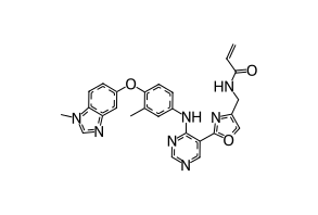 C=CC(=O)NCc1coc(-c2cncnc2Nc2ccc(Oc3ccc4c(c3)ncn4C)c(C)c2)n1